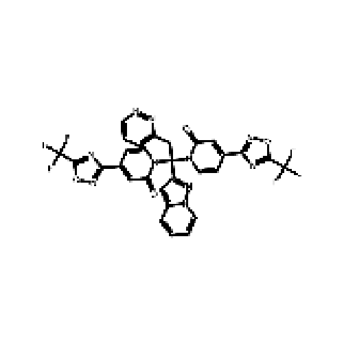 O=c1cc(-c2noc(C(F)(F)F)n2)ccn1C(Cc1cccnn1)(c1cc2ccccn2n1)n1ccc(-c2noc(C(F)(F)F)n2)cc1=O